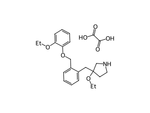 CCOc1ccccc1OCc1ccccc1CC1(OCC)CCNC1.O=C(O)C(=O)O